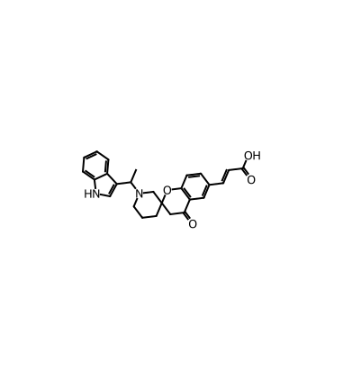 CC(c1c[nH]c2ccccc12)N1CCCC2(CC(=O)c3cc(/C=C/C(=O)O)ccc3O2)C1